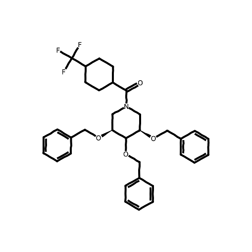 O=C(C1CCC(C(F)(F)F)CC1)N1C[C@H](OCc2ccccc2)C(OCc2ccccc2)[C@H](OCc2ccccc2)C1